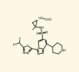 CC1(NS(=O)(=O)c2cc(C3CCNCC3)c3cnc(-c4nnc(C(F)F)s4)n3c2)CC1.O=CO